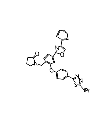 CC(C)c1nnc(-c2ccc(Oc3cc(-c4nc(-c5ccccc5)co4)ccc3CN3CCCC3=O)cc2)s1